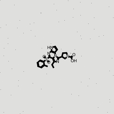 CCc1nc(C2CCN(C(=O)O)C2)n2c1c(S(=O)(=O)c1ccccc1C)nc1[nH]ccc12